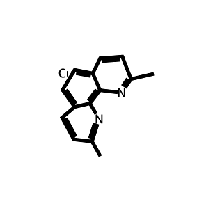 Cc1ccc2ccc3ccc(C)nc3c2n1.[Cu]